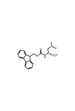 C[S+]([O-])C[C@H](NC(=O)OCC1c2ccccc2-c2ccccc21)C(=O)O